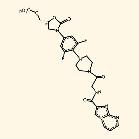 O=C(O)OC[C@H]1CN(c2cc(F)c(N3CCN(C(=O)CNC(=O)c4cn5cccnc5n4)CC3)c(F)c2)C(=O)O1